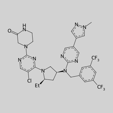 CC[C@@H]1C[C@H](N(Cc2cc(C(F)(F)F)cc(C(F)(F)F)c2)c2ncc(-c3cnn(C)c3)cn2)CN1c1nc(N2CCNC(=O)C2)ncc1Cl